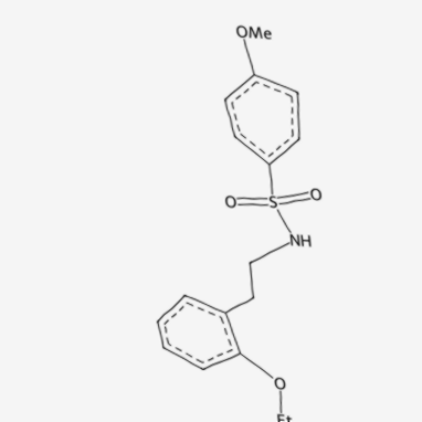 CCOc1ccccc1CCNS(=O)(=O)c1ccc(OC)cc1